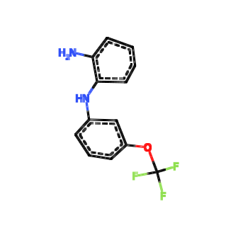 Nc1ccccc1Nc1cccc(OC(F)(F)F)c1